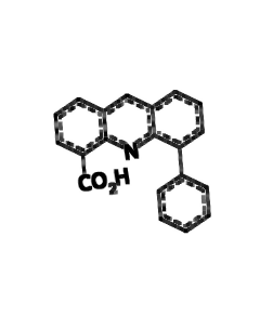 O=C(O)c1cccc2cc3cccc(-c4ccccc4)c3nc12